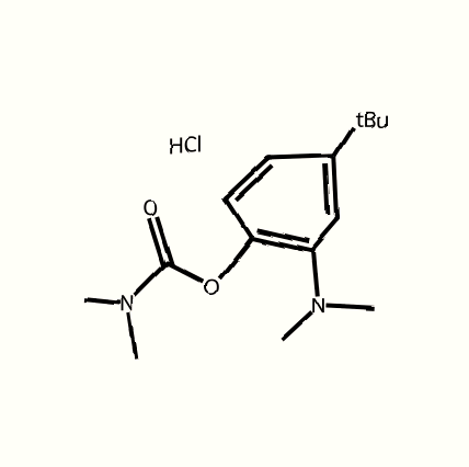 CN(C)C(=O)Oc1ccc(C(C)(C)C)cc1N(C)C.Cl